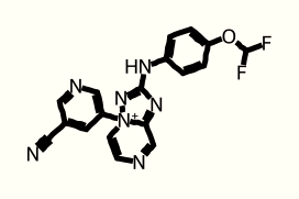 N#Cc1cncc([N+]23C=CN=CC2=NC(Nc2ccc(OC(F)F)cc2)=N3)c1